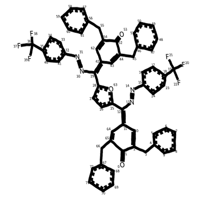 O=C1C(Cc2ccccc2)=CC(=C(/N=N/c2ccc(C(F)(F)F)cc2)c2ccc(C(/N=N/c3ccc(C(F)(F)F)cc3)=C3C=C(Cc4ccccc4)C(=O)C(Cc4ccccc4)=C3)o2)C=C1Cc1ccccc1